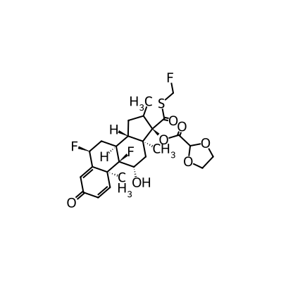 CC1C[C@H]2[C@@H]3C[C@H](F)C4=CC(=O)C=C[C@]4(C)[C@@]3(F)[C@@H](O)C[C@]2(C)[C@@]1(OC(=O)C1OCCO1)C(=O)SCF